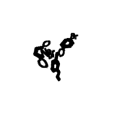 CCCc1cccc(COc2ccc(Br)cc2)c1.O=C1CCC(=O)N1Br